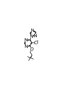 CC(C)(C)CCOc1ncnc(-n2cncn2)c1Cl